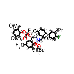 COc1cccc(OC)c1OC(=O)O[C@H](c1cc(C(F)(F)F)cc(C(F)(F)F)c1)[C@H](C)N(CC1(OC)C=C(C(F)(F)F)C=CC1c1ccc(F)c(C(C)C)c1)C(=O)OC(C)(C)C